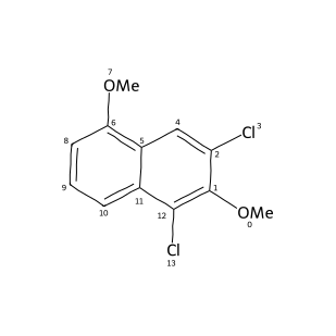 COc1c(Cl)cc2c(OC)cccc2c1Cl